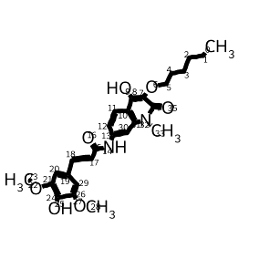 CCCCCCOc1c(O)c2ccc(NC(=O)C=Cc3cc(OC)c(O)c(OC)c3)cc2n(C)c1=O